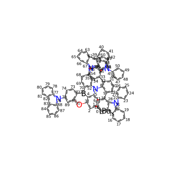 CC(C)(C)c1cc2c3c(c1)N(c1c(-c4cccc5c6ccccc6n(-c6ccccc6)c45)cccc1-c1cccc4c5ccccc5n(-c5ccccc5)c14)c1cc(-n4c5ccccc5c5ccccc54)ccc1B3c1ccc(-n3c4ccccc4c4ccccc43)cc1O2